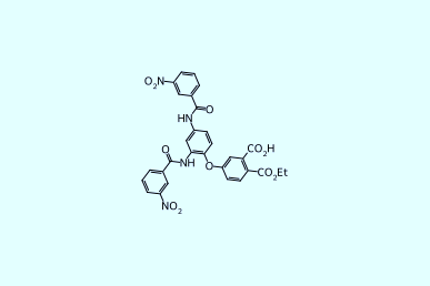 CCOC(=O)c1ccc(Oc2ccc(NC(=O)c3cccc([N+](=O)[O-])c3)cc2NC(=O)c2cccc([N+](=O)[O-])c2)cc1C(=O)O